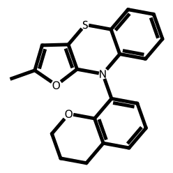 Cc1cc2c(o1)N(c1cccc3c1OCCC3)c1ccccc1S2